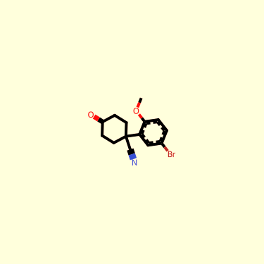 COc1ccc(Br)cc1C1(C#N)CCC(=O)CC1